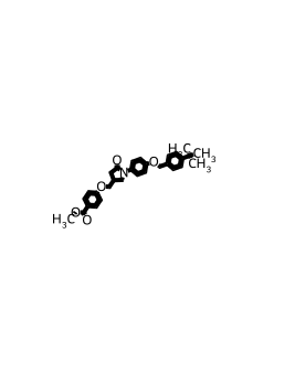 COC(=O)c1ccc(OCC2CC(=O)N(c3ccc(OCc4ccc(C(C)(C)C)cc4)cc3)C2)cc1